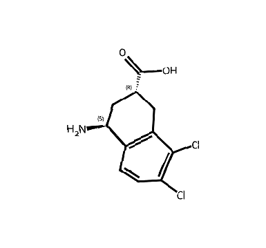 N[C@H]1C[C@H](C(=O)O)Cc2c1ccc(Cl)c2Cl